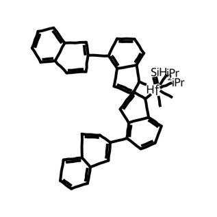 C[CH](C)[Hf]([CH3])([CH3])(=[SiH2])([CH](C)C)([CH]1C=Cc2c(-c3ccc4ccccc4c3)cccc21)[CH]1C=Cc2c(-c3ccc4ccccc4c3)cccc21